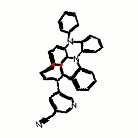 N#Cc1cncc(-c2ccccc2-c2ccccc2N2c3ccccc3N(c3ccccc3)c3ccccc32)c1